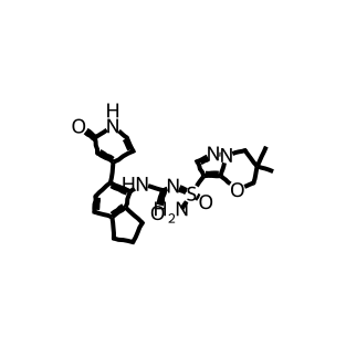 CC1(C)COc2c(S(N)(=O)=NC(=O)Nc3c(-c4cc[nH]c(=O)c4)ccc4c3CCC4)cnn2C1